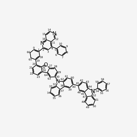 C1=C(c2cc(-c3ccccc3)c3cnccc3n2)C=C(c2cccc3c2oc2ccc(-n4c5ccccc5c5cc(-c6ccc7c(c6)c6ccccc6n7-c6ccccc6)ccc54)cc23)CC1